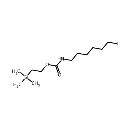 C[Si](C)(C)CCOC(=O)NCCCCCCI